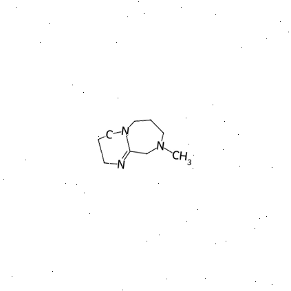 CN1CCCN2CCCN=C2C1